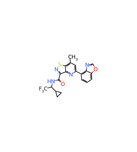 Cc1cc(-c2cccc3ocnc23)nc2c(C(=O)NC(C3CC3)C(F)(F)F)nsc12